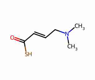 CN(C)C/C=C/C(=O)S